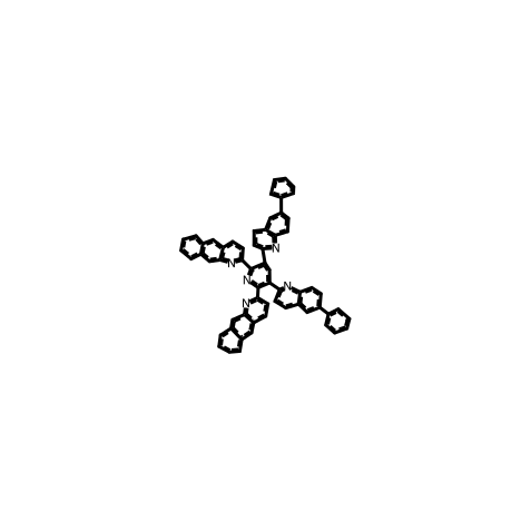 c1ccc(-c2ccc3nc(-c4cc(-c5ccc6cc(-c7ccccc7)ccc6n5)c(-c5ccc6cc7ccccc7cc6n5)nc4-c4ccc5cc6ccccc6cc5n4)ccc3c2)cc1